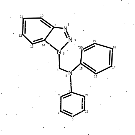 c1ccc(N(Cn2nnc3ccccc32)c2ccccc2)cc1